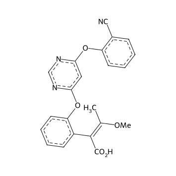 COC(C)=C(C(=O)O)c1ccccc1Oc1cc(Oc2ccccc2C#N)ncn1